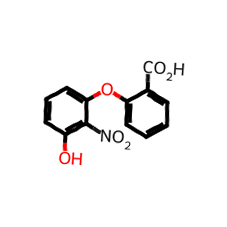 O=C(O)c1ccccc1Oc1cccc(O)c1[N+](=O)[O-]